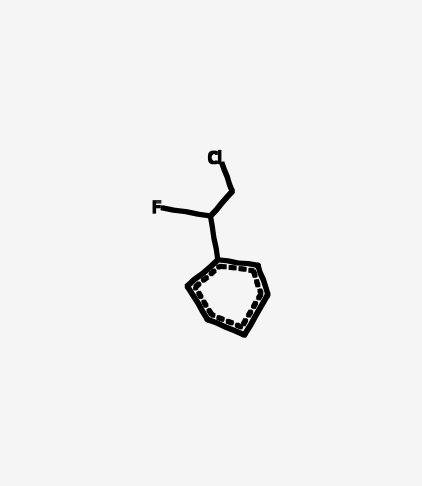 FC(CCl)c1ccccc1